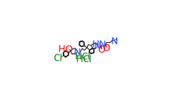 CN(C)CCCC(=O)NC(=O)N1CCC(CC(CCCN2CCC(O)(c3ccc(Cl)cc3)CC2)(c2ccccc2)c2ccccc2)CC1.Cl.Cl